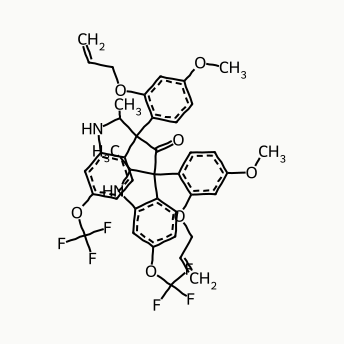 C=CCOc1cc(OC)ccc1C1(C(=O)C2(c3ccc(OC)cc3OCC=C)c3ccc(OC(F)(F)F)cc3NC2C)c2ccc(OC(F)(F)F)cc2NC1C